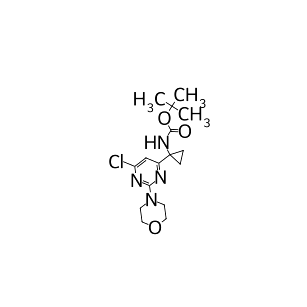 CC(C)(C)OC(=O)NC1(c2cc(Cl)nc(N3CCOCC3)n2)CC1